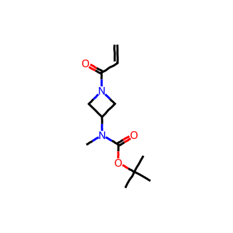 C=CC(=O)N1CC(N(C)C(=O)OC(C)(C)C)C1